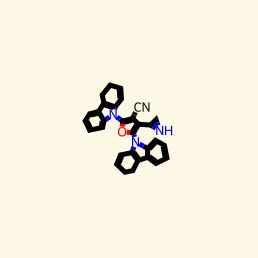 N#Cc1c(-n2c3c(c4ccccc42)CCC=C3)oc(-n2c3c(c4ccccc42)CCC=C3)c1C1CN1